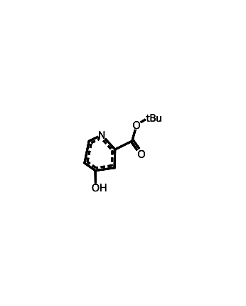 CC(C)(C)OC(=O)c1cc(O)ccn1